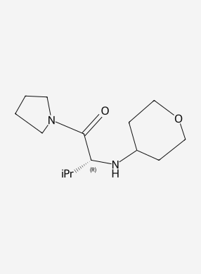 CC(C)[C@@H](NC1CCOCC1)C(=O)N1CCCC1